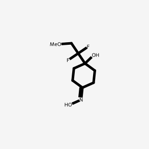 COCC(F)(F)C1(O)CCC(=NO)CC1